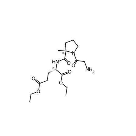 CCOC(=O)CC[C@H](NC(=O)[C@]1(C)CCCN1C(=O)CN)C(=O)OCC